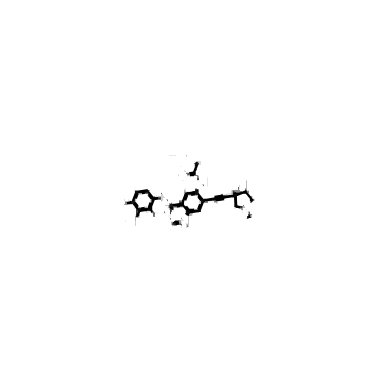 C=CC(=O)Nc1cc2c(Nc3ccc(F)c(Cl)c3F)ncnc2cc1C#CC1(C)CCN(C)C1